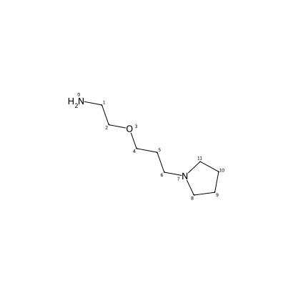 NCCOCCCN1CCCC1